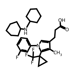 C1CCC(NC2CCCCC2)CC1.Cc1c(CCC(=O)O)cn(-c2cccc(F)c2)c1C1(C(F)(F)F)CC1